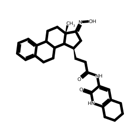 C[C@]12CCC3c4ccccc4CCC3C1[C@H](CCC(=O)Nc1cc3c([nH]c1=O)CCCC3)C/C2=N\O